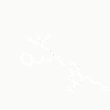 CCOP(=O)(CC[C@H](COCc1ccccc1)OCn1cnc2c(SCCO)nc(N)nc21)OCC